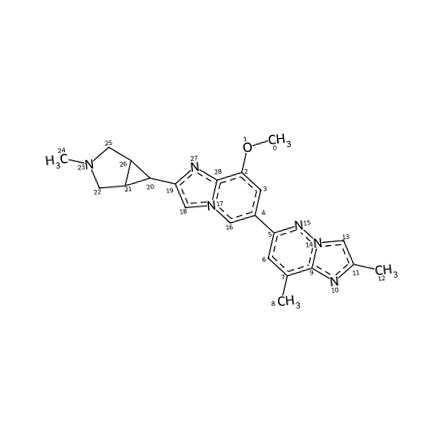 COc1cc(-c2cc(C)c3nc(C)cn3n2)cn2cc(C3C4CN(C)CC43)nc12